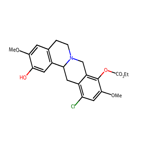 CCOC(=O)Oc1c(OC)cc(Cl)c2c1CN1CCc3cc(OC)c(O)cc3C1C2